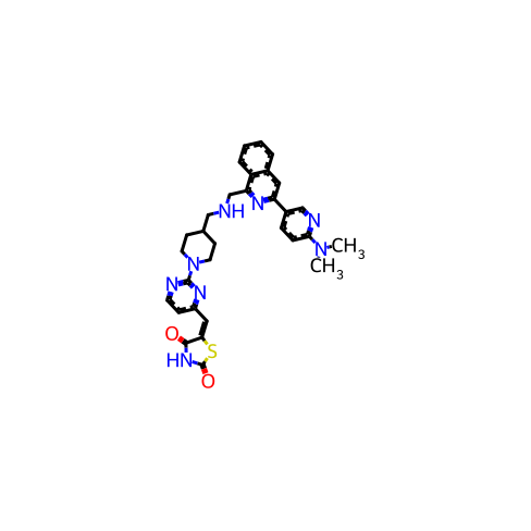 CN(C)c1ccc(-c2cc3ccccc3c(CNCC3CCN(c4nccc(/C=C5/SC(=O)NC5=O)n4)CC3)n2)cn1